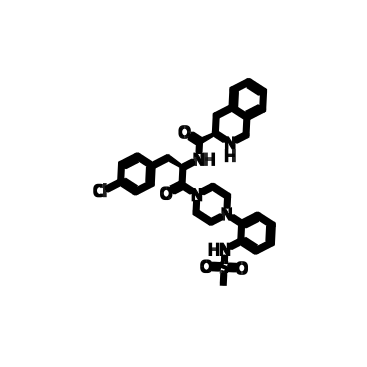 CS(=O)(=O)Nc1ccccc1N1CCN(C(=O)[C@@H](Cc2ccc(Cl)cc2)NC(=O)[C@H]2Cc3ccccc3CN2)CC1